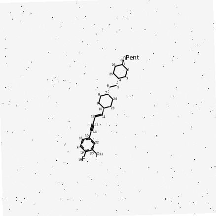 CCCCC[C@H]1CC[C@H](CC[C@H]2CC[C@H](C=CC#Cc3ccc(F)c(F)c3)CC2)CC1